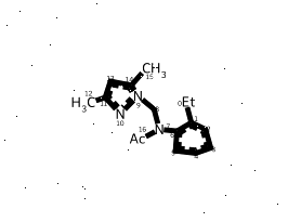 CCc1ccccc1N(Cn1nc(C)cc1C)C(C)=O